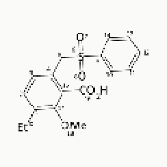 CCc1ccc(CS(=O)(=O)c2ccccc2)c(C(=O)O)c1OC